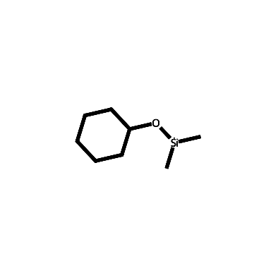 C[Si](C)OC1CCCCC1